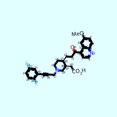 COc1ccc2nccc(C(=O)CC[C@@H]3CCN(CC#Cc4cc(F)ccc4F)C[C@@H]3CC(=O)O)c2c1